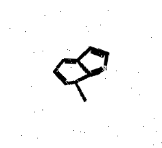 CC1C=CC=C2C=CN=C21